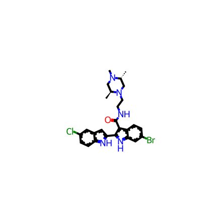 C[C@@H]1CN(CCNC(=O)c2c(-c3cc4cc(Cl)ccc4[nH]3)[nH]c3cc(Br)ccc23)[C@@H](C)CN1C